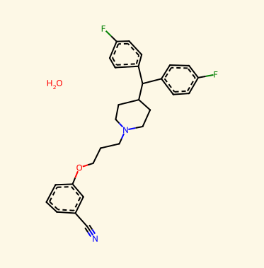 N#Cc1cccc(OCCCN2CCC(C(c3ccc(F)cc3)c3ccc(F)cc3)CC2)c1.O